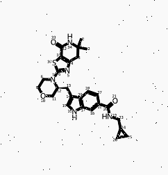 CC1(C)Cc2nc(N3CCOC[C@@H]3Cc3c[nH]c4cc(C(=O)NCC5CC5)ccc34)sc2C(=O)N1